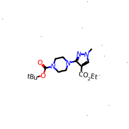 CCOC(=O)c1cn(C)nc1N1CCN(C(=O)OC(C)(C)C)CC1